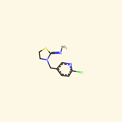 O=[N+]([O-])/N=C1\SCCN1Cc1ccc(Cl)nc1